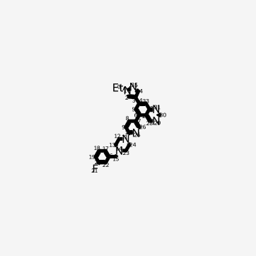 CCn1cc(-c2cc(-c3ccc(N4CCN(Cc5cccc(F)c5)CC4)nc3)c3cncnc3c2)cn1